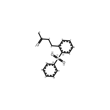 CC(=O)CCc1ccccc1S(=O)(=O)c1ccccc1